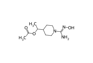 CC(=O)OC(C)C1CCN(C(N)=NO)CC1